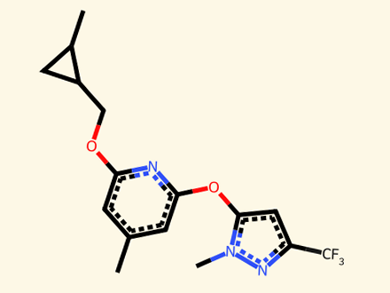 Cc1cc(OCC2CC2C)nc(Oc2cc(C(F)(F)F)nn2C)c1